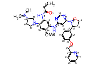 C=CC(=O)Nc1cc(Nc2cc(N3OCCC3c3cccc(OCc4ccccn4)c3)ncn2)c(OC)cc1N1CC[C@@H](N(C)C)C1